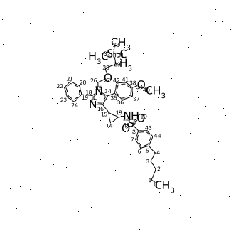 CCCCCc1ccc(S(=O)(=O)NC2CC2c2nc(-c3ccccc3)n(COCC[Si](C)(C)C)c2-c2ccc(OC)cc2)cc1